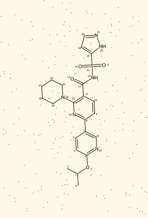 CC(C)Oc1ccc(-c2ccc(C(=O)NS(=O)(=O)c3ccn[nH]3)c(N3CCCCC3)n2)cn1